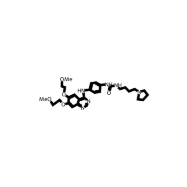 COCCOc1cc2ncnc(Nc3ccc(NC(=O)NCCCCN4CCCC4)cc3)c2cc1OCCOC